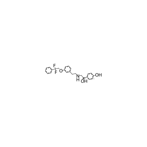 Oc1[c]cc([C@@H](O)CNCCc2cccc(OCC(F)(F)c3ccccc3)c2)cc1